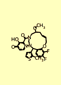 COC1C/C=C/COc2c(ccc(F)c2F)C(c2ccsc2C)N2CN(C1)C(=O)c1c(O)c(=O)ccn12